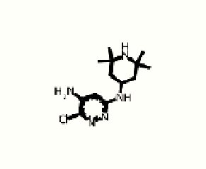 CC1(C)CC(Nc2cc(N)c(Cl)nn2)CC(C)(C)N1